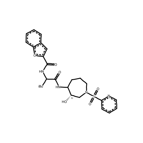 CCC(C)C(NC(=O)c1cc2ccccc2o1)C(=O)NC1CCCN(S(=O)(=O)c2ccccn2)C[C@@H]1O